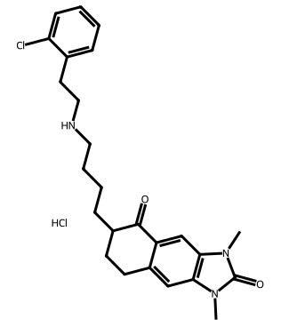 Cl.Cn1c(=O)n(C)c2cc3c(cc21)CCC(CCCCNCCc1ccccc1Cl)C3=O